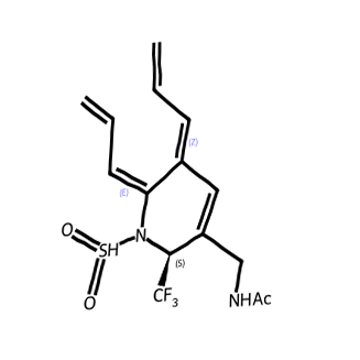 C=C/C=C1/C=C(CNC(C)=O)[C@@H](C(F)(F)F)N([SH](=O)=O)/C1=C/C=C